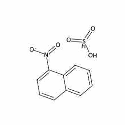 O=[N+]([O-])c1cccc2ccccc12.O=[SH](=O)O